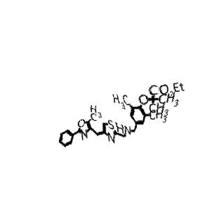 CCOC(=O)C(C)(C)Oc1c(C)cc(CNCc2nc(Cc3nc(-c4ccccc4)oc3C)cs2)cc1C